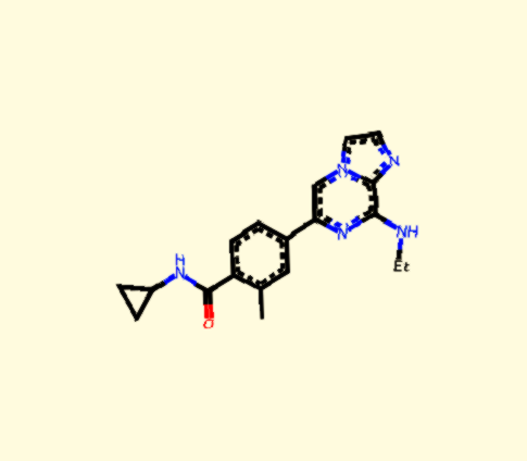 CCNc1nc(-c2ccc(C(=O)NC3CC3)c(C)c2)cn2ccnc12